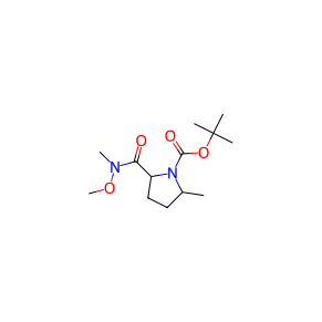 CON(C)C(=O)C1CCC(C)N1C(=O)OC(C)(C)C